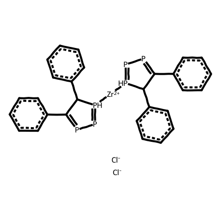 [Cl-].[Cl-].c1ccc(C2=PP=[PH]([Zr+2][PH]3=PP=C(c4ccccc4)C3c3ccccc3)C2c2ccccc2)cc1